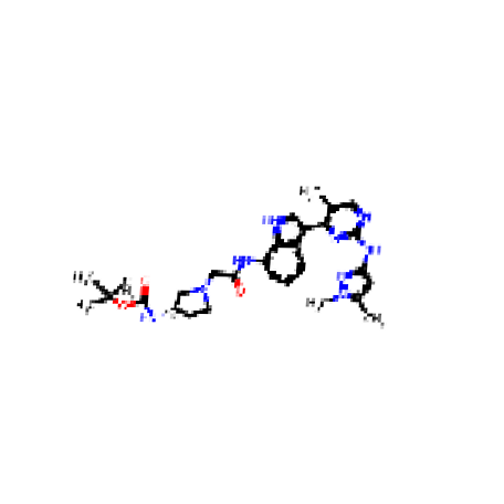 Cc1cnc(Nc2cc(C)n(C)n2)nc1-c1c[nH]c2c(NC(=O)CN3CC[C@H](NC(=O)OC(C)(C)C)C3)cccc12